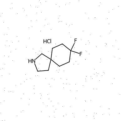 Cl.FC1(F)CCC2(CCNC2)CC1